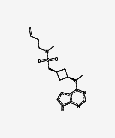 C=CCCN(C)S(=O)(=O)C[C@H]1C[C@@H](N(C)c2ncnc3[nH]ccc23)C1